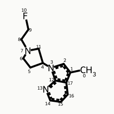 Cc1cn(C2CCN(CCF)C2)c2ncccc12